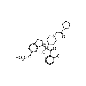 C[N+](C(=O)c1ccccc1Cl)(C1CCN(CC(=O)N2CCCC2)CC1)[C@@H]1CCc2ccc(OC(=O)O)cc21